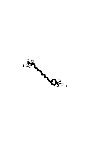 CS(=O)(=O)c1ccc(CCCCCCCCCCC(Cl)(Cl)C(=O)O)cc1